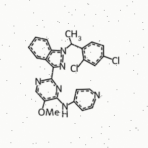 COc1cnc(-c2nn(C(C)c3ccc(Cl)cc3Cl)c3ccccc23)nc1Nc1ccncc1